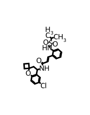 CC(C)S(=O)(=O)Nc1ccccc1C=CC(=O)NC1CC2(CCC2)Oc2ccc(Cl)cc21